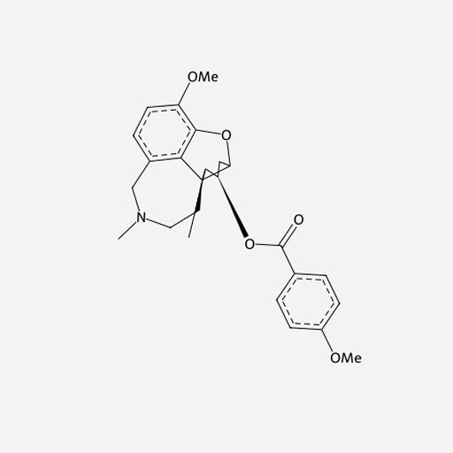 COc1ccc(C(=O)O[C@@H]2CC3Oc4c(OC)ccc5c4[C@]3(CCN(C)C5)C2C)cc1